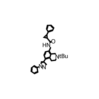 CC(C)(C)N1CCc2c(-c3cnn(-c4ccccc4)c3)ccc(CNC(=O)C3CC3c3ccccc3)c2C1